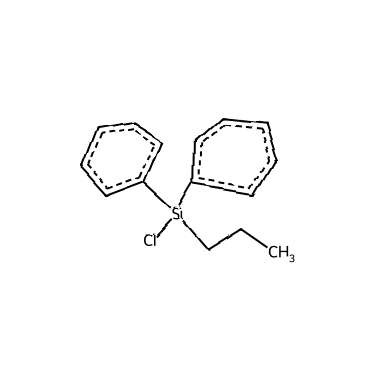 CCC[Si](Cl)(c1ccccc1)c1ccccc1